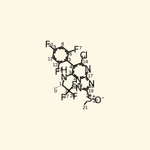 C[C@H](Nc1c(-c2c(F)cc(F)cc2F)c(Cl)nc2nc([S+](C)[O-])nn12)C(F)(F)F